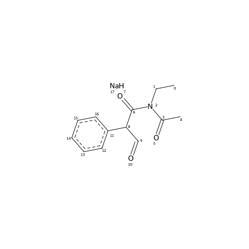 CCN(C(C)=O)C(=O)C(C=O)c1ccccc1.[NaH]